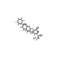 NC(=O)c1cnc([CH]c2cc3nc(-c4ccccc4)ccc3cc2Cl)c(Cl)n1